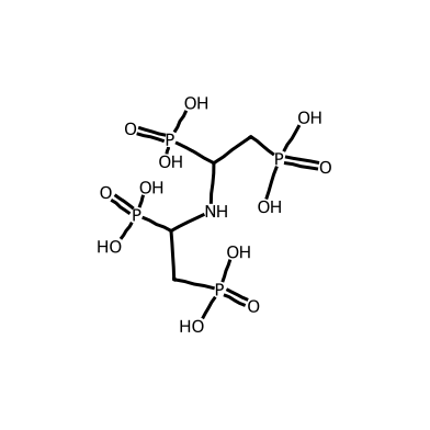 O=P(O)(O)CC(NC(CP(=O)(O)O)P(=O)(O)O)P(=O)(O)O